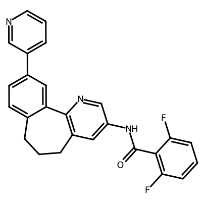 O=C(Nc1cnc2c(c1)CCCc1ccc(-c3cccnc3)cc1-2)c1c(F)cccc1F